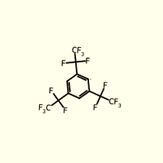 FC(F)(F)C(F)(F)c1[c]c(C(F)(F)C(F)(F)F)cc(C(F)(F)C(F)(F)F)c1